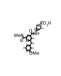 CNC(=O)c1cc(C(=O)NC2C3CN(C(=O)O)CC32)cc(Cc2cccc(OC)c2)n1